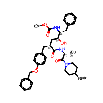 CC[C@H](C)[C@H](NC(=O)[C@@H](Cc1ccc(OCc2ccccc2)cc1)C[C@H](O)[C@@H](Cc1ccccc1)NC(=O)OC(C)(C)C)C(=O)N1CCC(NC)CC1